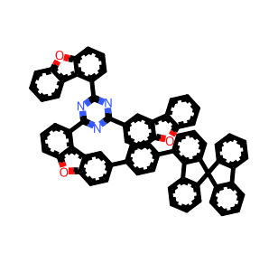 c1ccc2c(c1)-c1ccccc1C21c2ccccc2-c2c(-c3ccc(-c4ccc5oc6cccc(-c7nc(-c8ccc9oc%10ccccc%10c9c8)nc(-c8cccc9oc%10ccccc%10c89)n7)c6c5c4)cc3)cccc21